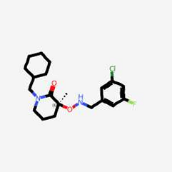 C[C@]1(ONCc2cc(F)cc(Cl)c2)CCCN(CC2CCCCC2)C1=O